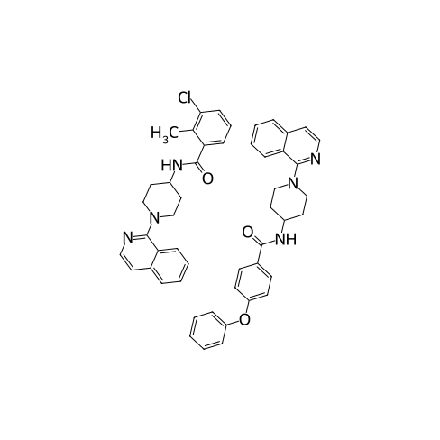 Cc1c(Cl)cccc1C(=O)NC1CCN(c2nccc3ccccc23)CC1.O=C(NC1CCN(c2nccc3ccccc23)CC1)c1ccc(Oc2ccccc2)cc1